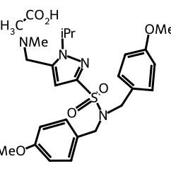 CC(=O)O.CNCc1cc(S(=O)(=O)N(Cc2ccc(OC)cc2)Cc2ccc(OC)cc2)nn1C(C)C